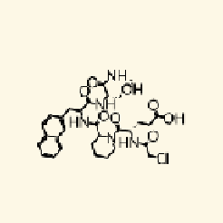 NC(=O)[C@H](CO)NC(=O)C(Cc1ccc2ccccc2c1)NC(=O)[C@@H]1CCCCN1C(=O)[C@H](CCC(=O)O)NC(=O)CCl